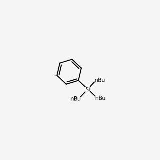 CCCC[Si](CCCC)(CCCC)c1c[c]ccc1